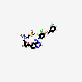 BN(CCS(C)(=O)=O)Cc1ccc(-c2ccc3ncnc(Nc4ccc(OCc5cccc(F)c5)c(Cl)c4)c3c2)o1